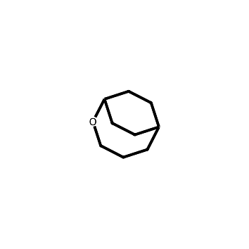 C1COC2CCC(C1)CC2